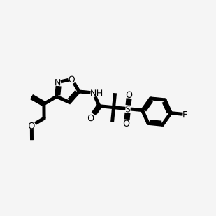 C=C(COC)c1cc(NC(=O)C(C)(C)S(=O)(=O)c2ccc(F)cc2)on1